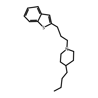 CCCCC1CCN(CCCc2cc3ccccc3s2)CC1